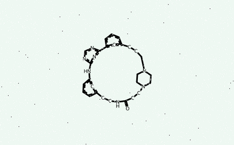 O=C1CCN2CCN(CCCc3cccc(c3)-c3ncnc(n3)Nc3cccc(c3)CCN1)CC2